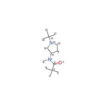 CN(C(=O)C(C)(C)C)C1CCN(C(C)(C)C)C1